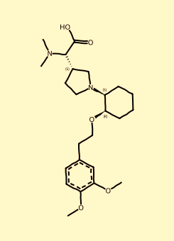 COc1ccc(CCO[C@@H]2CCCC[C@@H]2N2CC[C@H](C(C(=O)O)N(C)C)C2)cc1OC